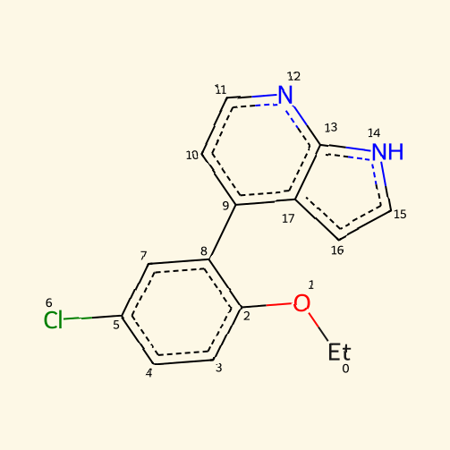 CCOc1ccc(Cl)cc1-c1ccnc2[nH]ccc12